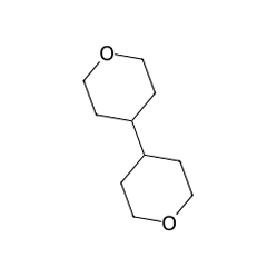 C1CC(C2CCOCC2)CCO1